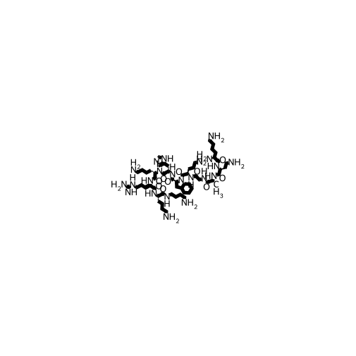 C[C@H](NC(=O)[C@H](CCN)NC(=O)[C@@H](N)CCCCN)C(=O)NCC(=O)N[C@H](CCCN)C(=O)N1C2CCCCC2C[C@H]1C(=O)N[C@@H](Cc1cnc[nH]1)C(=O)N[C@@H](CCCCN)C(=O)N/C(=C\CCNC(=N)N)C(=O)N[C@@H](CCCCN)C(=O)NCCCCN